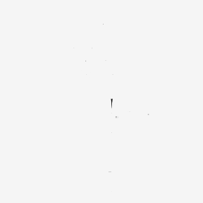 CC1(C)O[C@@H]2CC3C4CCC5=CC(=O)C=CC5(C)[C@@]4(F)[C@@H](O)CC3(C)[C@]2(C(=O)CO)O1